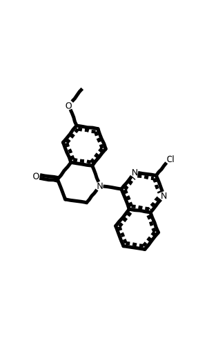 COc1ccc2c(c1)C(=O)CCN2c1nc(Cl)nc2ccccc12